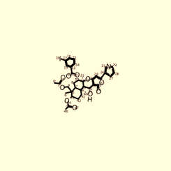 CC(=O)OCC1(C)C2C[C@H](OC(=O)c3cccc(I)c3)[C@@]3(C)Oc4cc(-c5cccnc5)oc(=O)c4[C@H](O)C3[C@@]2(C)CC[C@@H]1OC(C)=O